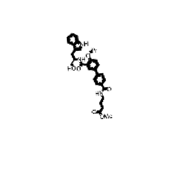 COC(=O)CCCNC(=O)c1ccc(-c2ccc(OC(C)C)c(C(=O)N[C@@H](CO)Cc3c[nH]c4ccccc34)c2)cc1